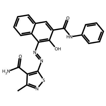 Cc1nsc(/N=N/c2c(O)c(C(=O)Nc3ccccc3)cc3ccccc23)c1C(N)=O